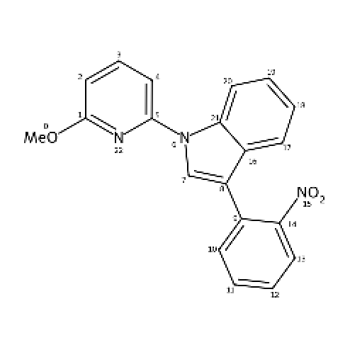 COc1cccc(-n2cc(-c3ccccc3[N+](=O)[O-])c3ccccc32)n1